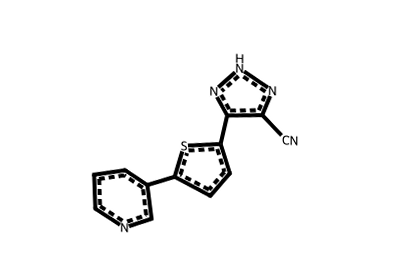 N#Cc1n[nH]nc1-c1ccc(-c2cccnc2)s1